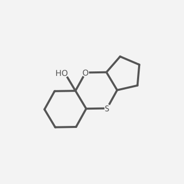 OC12CCCCC1SC1CCCC1O2